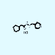 Cl.O=C(CC1CCCCC1)NNCc1ccncc1